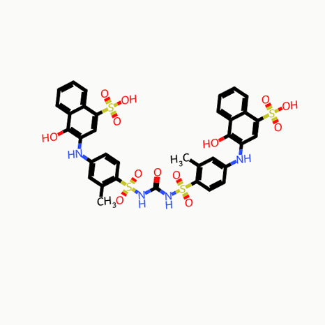 Cc1cc(Nc2cc(S(=O)(=O)O)c3ccccc3c2O)ccc1S(=O)(=O)NC(=O)NS(=O)(=O)c1ccc(Nc2cc(S(=O)(=O)O)c3ccccc3c2O)cc1C